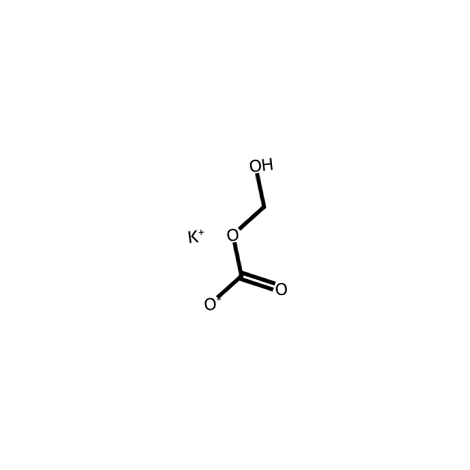 O=C([O-])OCO.[K+]